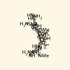 CNCCNC(=O)C(CCCNC(=N)N)NC(=O)COc1cc2oc3cc(OCC(=O)NC(CCCNC(=N)N)C(=O)NCCN)c(OC)c(CC=C(C)C)c3c(=O)c2c(O)c1CC=C(C)C